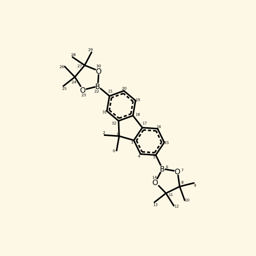 CC1(C)c2cc(B3OC(C)(C)C(C)(C)O3)ccc2-c2ccc(B3OC(C)(C)C(C)(C)O3)cc21